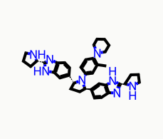 Cc1cc(N2[C@@H](c3ccc4nc([C@@H]5CCCN5)[nH]c4c3)CC[C@@H]2c2ccc3nc([C@@H]4CCCN4)[nH]c3c2)ccc1N1CCCCC1